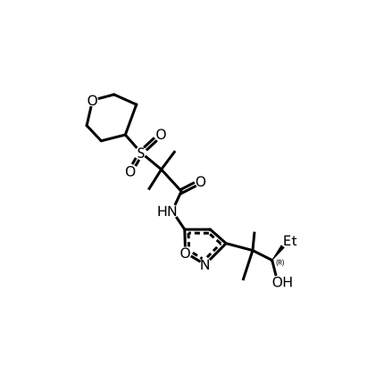 CC[C@@H](O)C(C)(C)c1cc(NC(=O)C(C)(C)S(=O)(=O)C2CCOCC2)on1